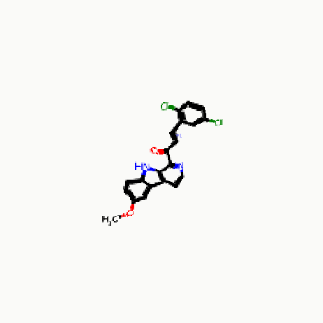 COc1ccc2[nH]c3c(C(=O)/C=C/c4cc(Cl)ccc4Cl)nccc3c2c1